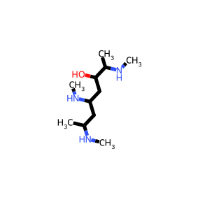 CNC(C)CC(CC(O)C(C)NC)NC